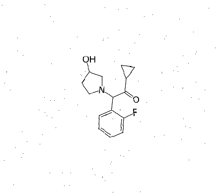 O=C(C1CC1)C(c1ccccc1F)N1CCC(O)C1